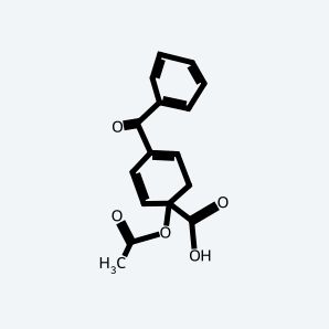 CC(=O)OC1(C(=O)O)C=CC(C(=O)c2ccccc2)=CC1